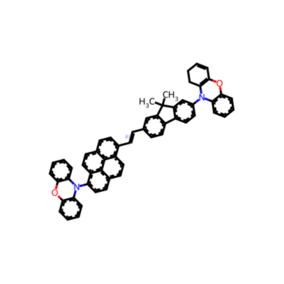 CC1(C)c2cc(/C=C/c3ccc4ccc5c(N6c7ccccc7Oc7ccccc76)ccc6ccc3c4c65)ccc2-c2ccc(N3C4=C(C=CCC4)Oc4ccccc43)cc21